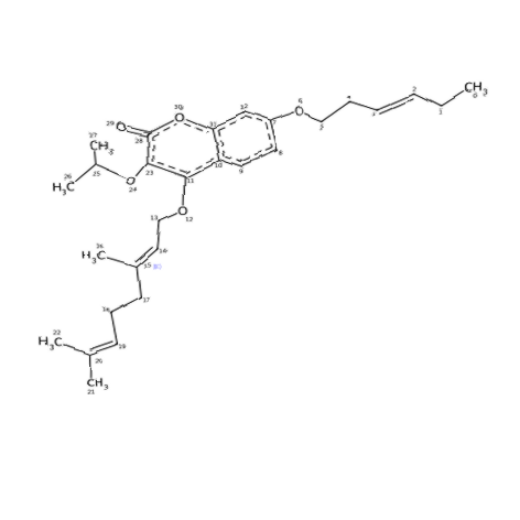 CCC=CCCOc1ccc2c(OC/C=C(\C)CCC=C(C)C)c(OC(C)C)c(=O)oc2c1